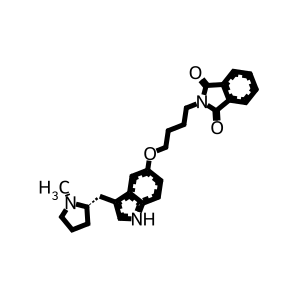 CN1CCC[C@H]1Cc1c[nH]c2ccc(OCCCCN3C(=O)c4ccccc4C3=O)cc12